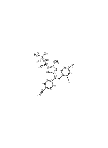 Cc1sc(N(Cc2ccc(Br)cc2F)c2ccc(C#N)cc2)nc1C(=O)NS(C)(=O)=O